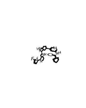 O=C(Nc1cncc(-c2ccc3[nH]nc(-c4cc5c(-c6ccc(F)s6)nccc5[nH]4)c3c2)c1)c1ccccc1